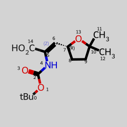 CC(C)(C)OC(=O)N/C(=C\[C@H]1CCC(C)(C)O1)C(=O)O